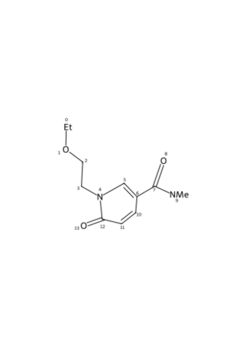 CCOCCn1cc(C(=O)NC)ccc1=O